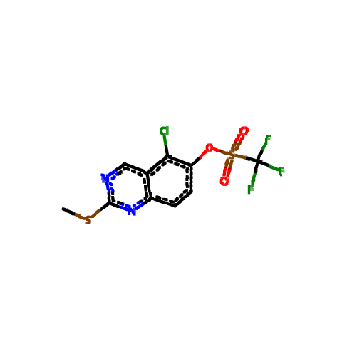 CSc1ncc2c(Cl)c(OS(=O)(=O)C(F)(F)F)ccc2n1